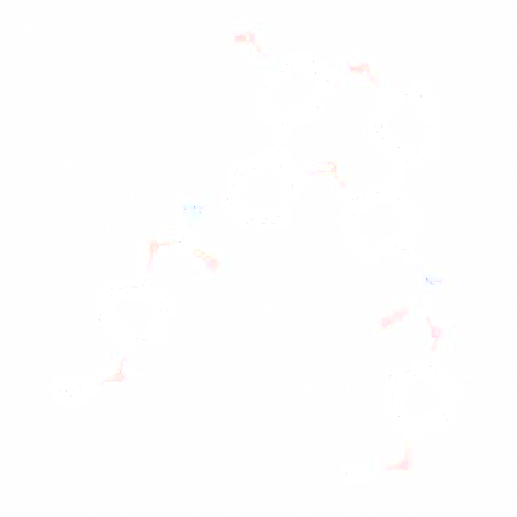 COc1ccc(OC(=O)Nc2ccc(Oc3ccc(NC(=O)Oc4ccc(OC)cc4)cc3-c3cccc(O)c3)c(-c3cccc(O)c3)c2)cc1